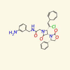 Nc1cccc(CNC(=O)CN2C(=O)[C@@H](N3C(=O)OC[C@@H]3c3ccccc3)[C@H]2/C(Cl)=C/C2C#CC=CC=C2)c1